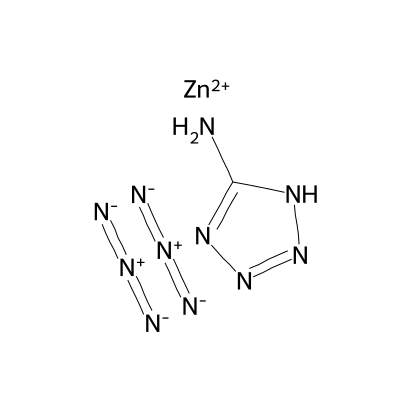 Nc1nnn[nH]1.[N-]=[N+]=[N-].[N-]=[N+]=[N-].[Zn+2]